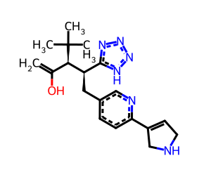 C=C(O)[C@H]([C@H](Cc1ccc(C2=CCNC2)nc1)c1nnn[nH]1)C(C)(C)C